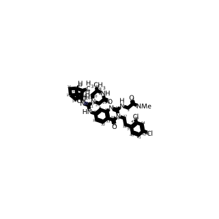 CNC(=O)CNc1nc2cc(N/C(=N/[C@H]3CC4C[C@H](C3C)C4(C)C)N3CC(=O)NC(C)C3)ccc2c(=O)n1CCc1ccc(Cl)cc1Cl